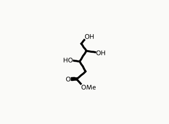 COC(=O)CC(O)C(O)CO